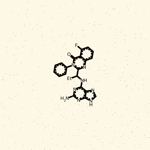 CCC(Nc1nc(N)nc2[nH]cnc12)c1nc2cccc(F)c2c(=O)n1-c1ccccc1